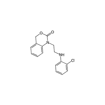 O=C1OCc2ccccc2N1CCNc1ccccc1Cl